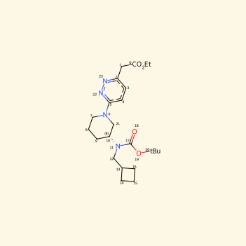 CCOC(=O)Cc1ccc(N2CCC[C@@H](N(CC3CCC3)C(=O)OC(C)(C)C)C2)nn1